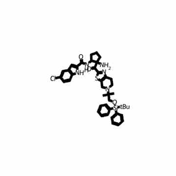 CC(C)(CO[Si](c1ccccc1)(c1ccccc1)C(C)(C)C)N1CCc2nc(C(=O)C3(N)CCCC3NC(=O)c3cc4cc(Cl)ccc4[nH]3)sc2C1